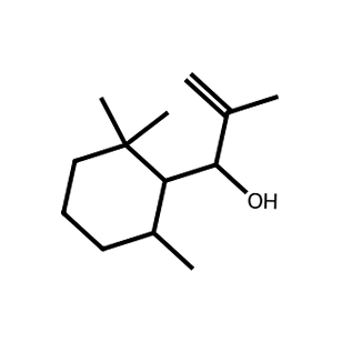 C=C(C)C(O)C1C(C)CCCC1(C)C